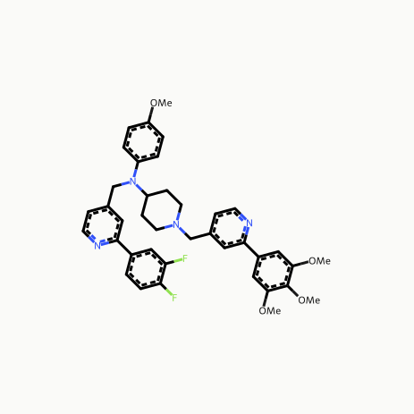 COc1ccc(N(Cc2ccnc(-c3ccc(F)c(F)c3)c2)C2CCN(Cc3ccnc(-c4cc(OC)c(OC)c(OC)c4)c3)CC2)cc1